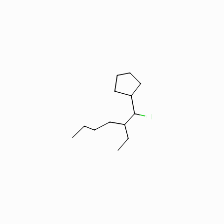 CCCCC(CC)C(Cl)C1CCCC1